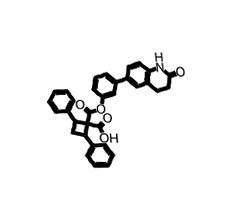 O=C1CCc2cc(-c3cccc(OC(=O)C4(C(=O)O)C(c5ccccc5)CC4c4ccccc4)c3)ccc2N1